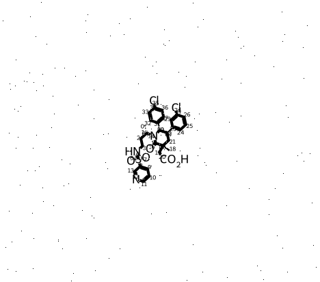 C[C@@H](CCNS(=O)(=O)c1cccnc1)N1C(=O)[C@@](C)(CC(=O)O)C[C@H](c2cccc(Cl)c2)[C@H]1c1ccc(Cl)cc1